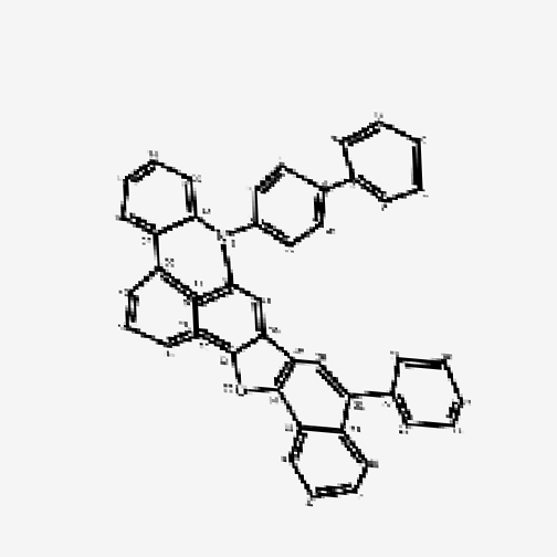 c1ccc(-c2ccc(N(c3ccc4oc5c6ccccc6c(-c6ccccc6)cc5c4c3)c3ccccc3-c3ccccc3)cc2)cc1